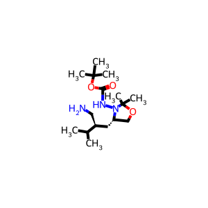 CC(C)[C@@H](CN)C[C@H]1COC(C)(C)N1NC(=O)OC(C)(C)C